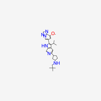 COc1cc(-c2[nH]c3cnc(C4CCC(NCC(C)(C)C)C4)cc3c2C(C)C)cn2ncnc12